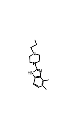 CCCN1CCN(c2nc3c(C)c(C)ccc3[nH]2)CC1